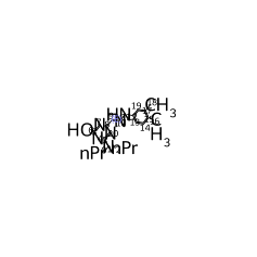 CCCN(CCC)c1nc(O)nc(/C=N/Nc2ccc(C)c(C)c2)n1